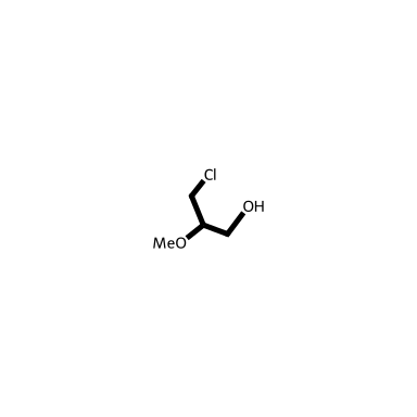 COC(CO)CCl